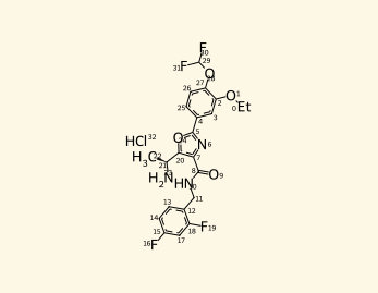 CCOc1cc(-c2nc(C(=O)NCc3ccc(F)cc3F)c([C@H](C)N)o2)ccc1OC(F)F.Cl